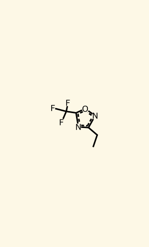 CCc1noc(C(F)(F)F)n1